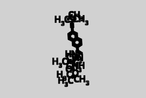 CC(C)(C)OC(=O)N[C@H](c1ncc(-c2ccc3cc(C#C[Si](C)(C)C)ccc3c2)[nH]1)C(C)(C)C